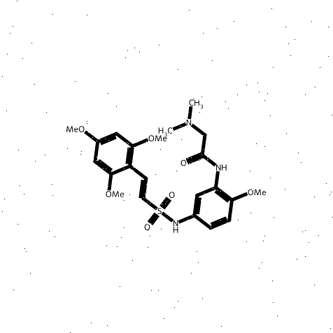 COc1cc(OC)c(C=CS(=O)(=O)Nc2ccc(OC)c(NC(=O)CN(C)C)c2)c(OC)c1